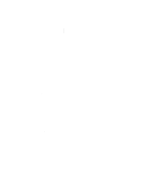 Cc1ccc(C)cc1.Cc1ccc(C)cc1.[Fe]